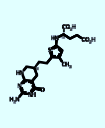 Cc1cc(N[C@@H](CCC(=O)O)C(=O)O)sc1CC[C@@H]1CNc2nc(N)[nH]c(=O)c2C1